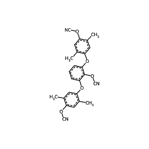 Cc1cc(Oc2cccc(Oc3cc(C)c(OC#N)cc3C)c2OC#N)c(C)cc1OC#N